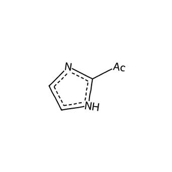 [CH2]C(=O)c1ncc[nH]1